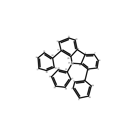 c1ccc(-c2cccc3c4cccc(-c5ccccc5)c4n(-c4ccccc4)c23)cc1